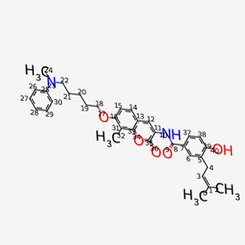 CC(C)=CCc1cc(C(=O)Nc2cc3ccc(OCCCCCN(C)c4ccccc4)c(C)c3oc2=O)ccc1O